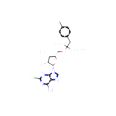 CCOC(=O)C(Cc1ccc(C)cc1)(OC[C@H]1O[C@@H](n2cnc3c(N)nc(Cl)nc32)[C@@H](F)[C@@H]1O)C(=O)OCC